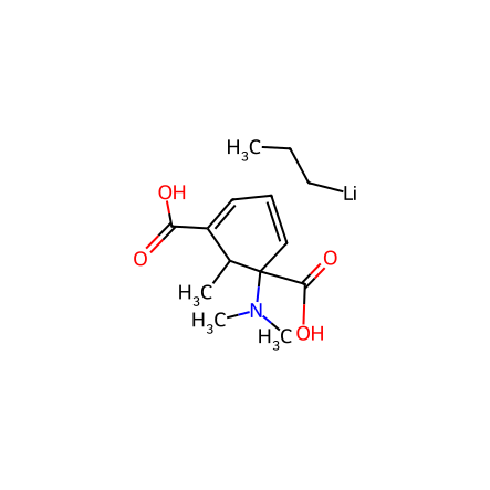 CC1C(C(=O)O)=CC=CC1(C(=O)O)N(C)C.[Li][CH2]CC